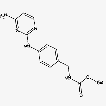 CC(C)(C)OC(=O)NCc1ccc(Nc2nccc(N)n2)cc1